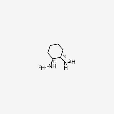 [2H]N[C@H]1CCCC[C@H]1N[2H]